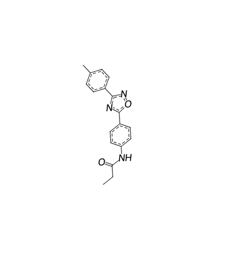 CCC(=O)Nc1ccc(-c2nc(-c3ccc(C)cc3)no2)cc1